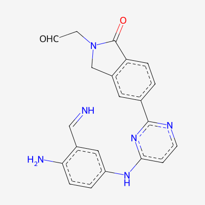 N=Cc1cc(Nc2ccnc(-c3ccc4c(c3)CN(CC=O)C4=O)n2)ccc1N